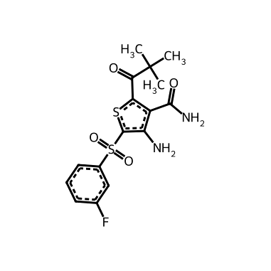 CC(C)(C)C(=O)c1sc(S(=O)(=O)c2cccc(F)c2)c(N)c1C(N)=O